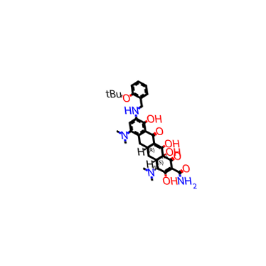 CN(C)c1cc(NCc2ccccc2OC(C)(C)C)c(O)c2c1C[C@H]1C[C@H]3[C@@H](N(C)C)C(O)=C(C(N)=O)C(=O)[C@@]3(O)C(O)=C1C2=O